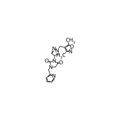 Cc1noc(C)c1CN1CC(N2C(=O)CN(Cc3ccccn3)C2=O)C=N1